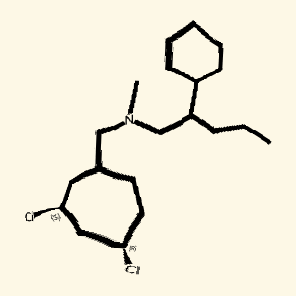 CCCC(CN(C)CC1CC[C@@H](Cl)C[C@@H](Cl)C1)C1CCCCC1